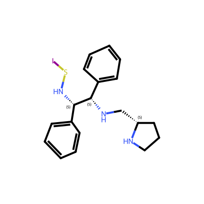 ISN[C@@H](c1ccccc1)[C@@H](NC[C@@H]1CCCN1)c1ccccc1